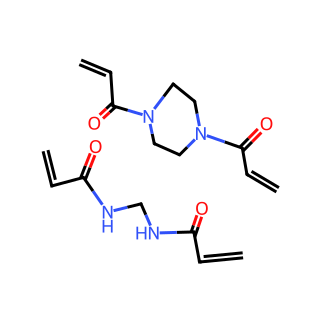 C=CC(=O)N1CCN(C(=O)C=C)CC1.C=CC(=O)NCNC(=O)C=C